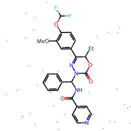 CCC1OC(=O)N(C(NC(=O)c2ccncc2)c2ccccc2)N=C1c1ccc(OC(F)F)c(OC)c1